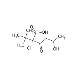 CC(O)CC(=O)[C@](Cl)(C(=O)O)C(C)(C)C